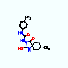 Cc1ccc(NC(=O)NN2C(=O)C3(CCC(C)CC3)NC2O)cc1